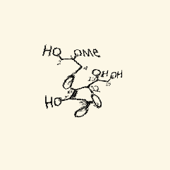 COC(CO)COC1=C(O)C(=O)O[C@@H]1[C@@H](O)CO